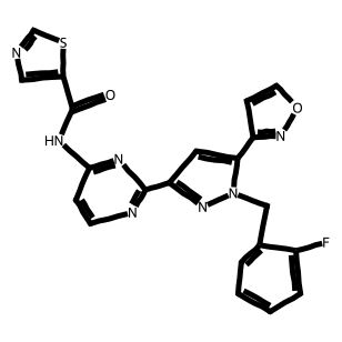 O=C(Nc1ccnc(-c2cc(-c3ccon3)n(Cc3ccccc3F)n2)n1)c1cncs1